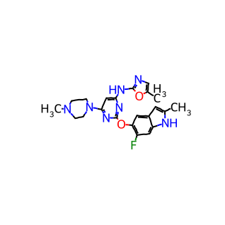 Cc1cc2cc(Oc3nc(Nc4ncc(C)o4)cc(N4CCN(C)CC4)n3)c(F)cc2[nH]1